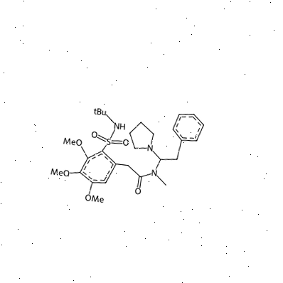 COc1cc(CC(=O)N(C)C(Cc2ccccc2)N2CCCC2)c(S(=O)(=O)NC(C)(C)C)c(OC)c1OC